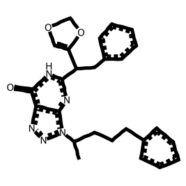 CC(CCCc1ccccc1)n1nnc2c(=O)[nH]c(C(Cc3ccccc3)C3=COCO3)nc21